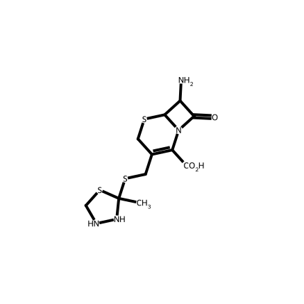 CC1(SCC2=C(C(=O)O)N3C(=O)C(N)C3SC2)NNCS1